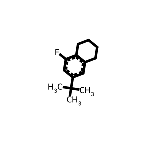 CC(C)(C)c1cc(F)c2c(c1)CCCC2